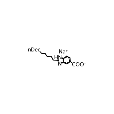 CCCCCCCCCCCCCCCc1nc2cc(C(=O)[O-])ccc2[nH]1.[Na+]